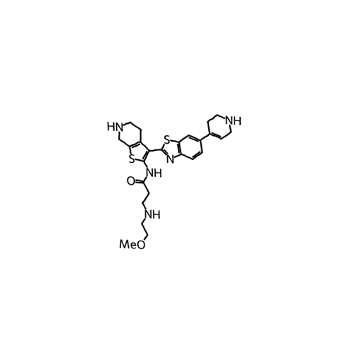 COCCNCCC(=O)Nc1sc2c(c1-c1nc3ccc(C4=CCNCC4)cc3s1)CCNC2